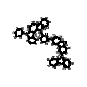 c1ccc(-n2c3ccccc3c3c2ccc2c4ccccc4n(-c4cccc(-c5ccc6oc7ccc(-n8c9ccccc9c9ccccc98)cc7c6c5)n4)c23)cc1